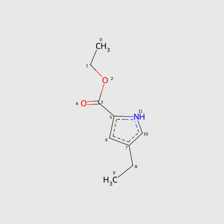 CCOC(=O)c1cc(CC)c[nH]1